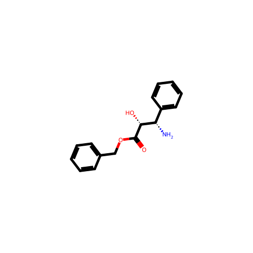 N[C@@H](c1ccccc1)[C@@H](O)C(=O)OCc1ccccc1